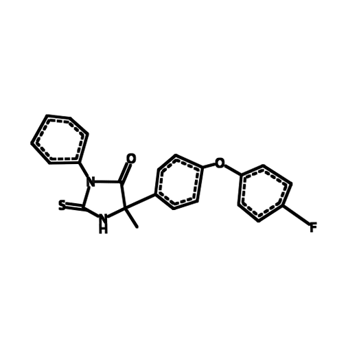 CC1(c2ccc(Oc3ccc(F)cc3)cc2)NC(=S)N(c2ccccc2)C1=O